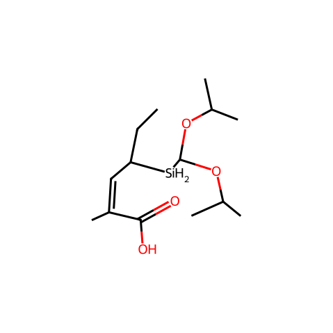 CCC(C=C(C)C(=O)O)[SiH2]C(OC(C)C)OC(C)C